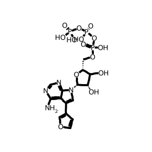 Nc1ncnc2c1c(-c1ccoc1)cn2[C@@H]1O[C@H](COP(=O)(O)OP(=O)(O)OP(=O)(O)O)C(O)[C@@H]1O